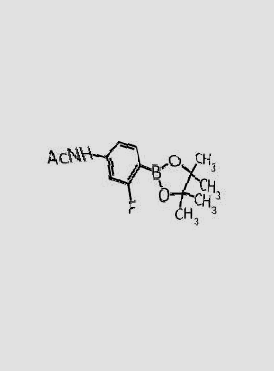 CC(=O)Nc1ccc(B2OC(C)(C)C(C)(C)O2)c(F)c1